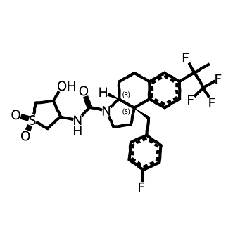 CC(F)(c1ccc2c(c1)CC[C@H]1N(C(=O)NC3CS(=O)(=O)CC3O)CC[C@@]21Cc1ccc(F)cc1)C(F)(F)F